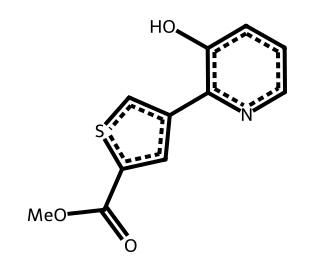 COC(=O)c1cc(-c2ncccc2O)cs1